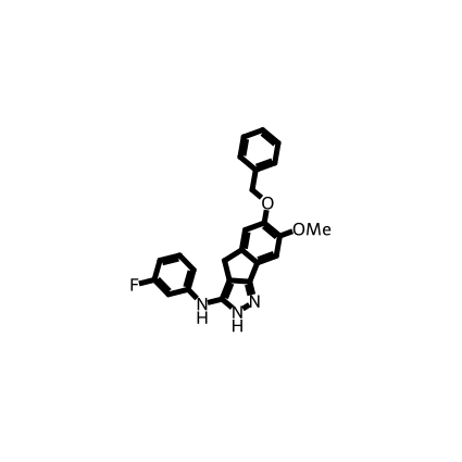 COc1cc2c(cc1OCc1ccccc1)Cc1c-2n[nH]c1Nc1cccc(F)c1